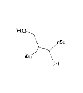 CCCCC(O)C(CO)C(C)CC